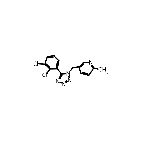 Cc1ccc(Cn2nnnc2-c2cccc(Cl)c2Cl)cn1